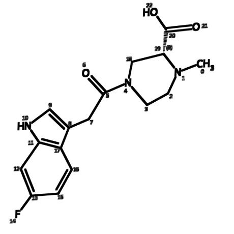 CN1CCN(C(=O)Cc2c[nH]c3cc(F)ccc23)C[C@@H]1C(=O)O